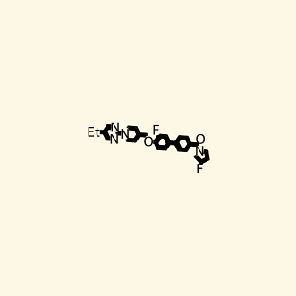 CCc1cnc(N2CCC(COc3ccc(C4=CCC(C(=O)N5CC[C@H](F)C5)CC4)cc3F)CC2)nc1